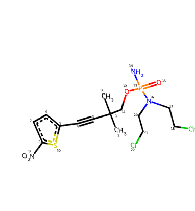 CC(C)(C#Cc1ccc([N+](=O)[O-])s1)COP(N)(=O)N(CCCl)CCCl